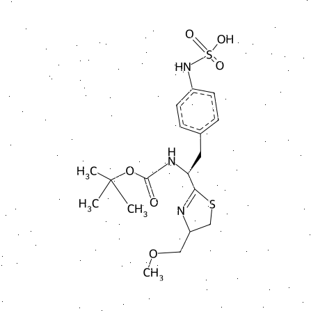 COCC1CSC([C@H](Cc2ccc(NS(=O)(=O)O)cc2)NC(=O)OC(C)(C)C)=N1